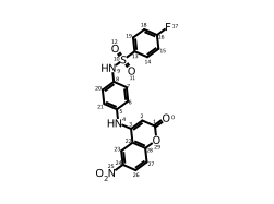 O=c1cc(Nc2ccc(NS(=O)(=O)c3ccc(F)cc3)cc2)c2cc([N+](=O)[O-])ccc2o1